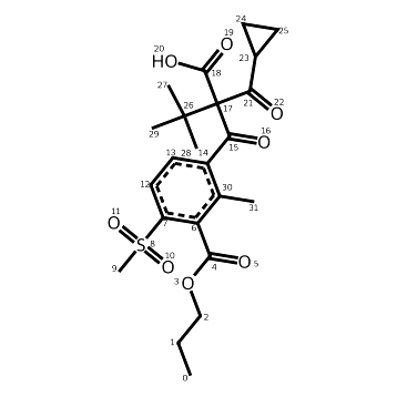 CCCOC(=O)c1c(S(C)(=O)=O)ccc(C(=O)C(C(=O)O)(C(=O)C2CC2)C(C)(C)C)c1C